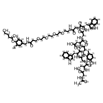 CCCCC(=O)Oc1c(F)cc(CNC(=O)CCOCCOCCOCCOCCNC(=O)CNC(=O)[C@H](Cc2c[nH]c3ccccc23)NC(=O)CNC(=O)[C@H](CC(=O)O)NC(=O)[C@H](Cc2ccc(O)cc2)NC(=O)[C@H](Cc2c[nH]c3ccccc23)NC(=O)CNC(=O)[C@H](CO)NC(=O)CNC(C)=O)cc1F